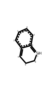 C1=c2ccccc2=[SiH]CC1